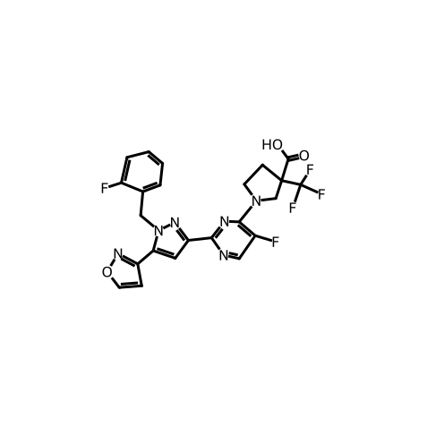 O=C(O)C1(C(F)(F)F)CCN(c2nc(-c3cc(-c4ccon4)n(Cc4ccccc4F)n3)ncc2F)C1